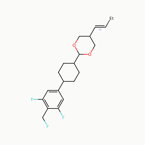 CC/C=C/C1COC(C2CCC(c3cc(F)c(CF)c(F)c3)CC2)OC1